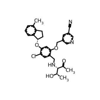 CC(=O)[C@@H](NCc1cc(Cl)c(O[C@H]2CCc3c(C)cccc32)cc1OCc1cncc(C#N)c1)[C@@H](C)O